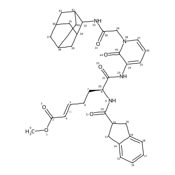 COC(=O)/C=C/CC[C@H](NC(=O)C1Cc2ccccc2C1)C(=O)Nc1cccn(CC(=O)NC2C3CC4CC(C3)CC2C4)c1=O